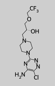 Nc1nc(N2CCN(C[C@@H](O)COCC(F)(F)F)CC2)nnc1Cl